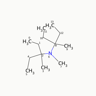 CCC(C)(CC)N(C)C(C)(CC)CC